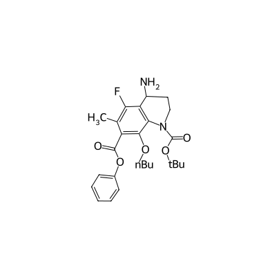 CCCCOc1c(C(=O)Oc2ccccc2)c(C)c(F)c2c1N(C(=O)OC(C)(C)C)CCC2N